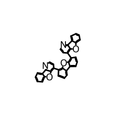 c1ccc2c(c1)oc1c(-c3cccc4c3oc3c(-c5ccnc6c5oc5ccccc56)cccc34)ccnc12